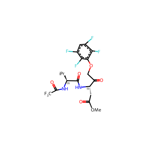 COC(=O)C[C@H](NC(=O)[C@@H](NC(=O)C(F)(F)F)C(C)C)C(=O)COc1c(F)c(F)cc(F)c1F